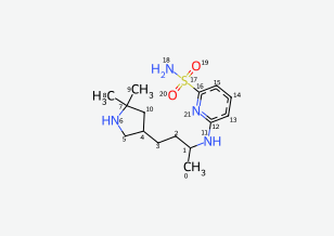 CC(CCC1CNC(C)(C)C1)Nc1cccc(S(N)(=O)=O)n1